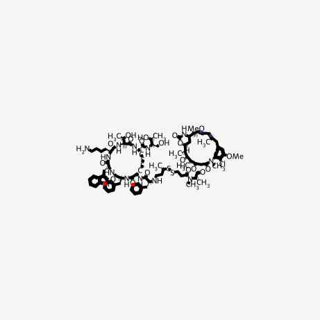 COc1cc2cc(c1Cl)N(C)C(=O)CC(OC(=O)[C@H](C)N(C)C(=O)CCSSC(C)CCN[C@H](Cc1ccccc1)C(=O)NC1CSSC[C@@H](C(=O)N[C@H](CO)[C@@H](C)O)NC(=O)[C@H]([C@@H](C)O)NC(=O)[C@H](CCCCN)NC(=O)[C@@H](Cc3c[nH]c4ccccc34)NC(=O)[C@H](Cc3ccccc3)NC1=O)[C@@H](C)[C@@H](O)[C@H](C)[C@@H]1CC(NC(=O)O1)[C@H](OC)/C=C/C=C(\C)C2